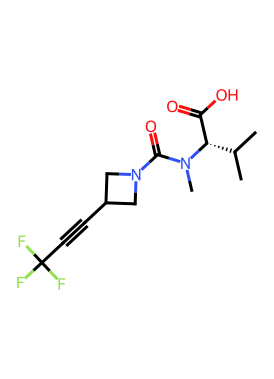 CC(C)[C@@H](C(=O)O)N(C)C(=O)N1CC(C#CC(F)(F)F)C1